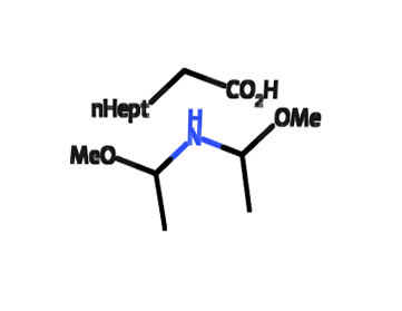 CCCCCCCCC(=O)O.COC(C)NC(C)OC